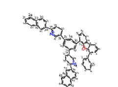 c1ccc(-c2cccc3c2oc2c(-c4cc(-c5ccc(-c6ccc7ccccc7c6)nc5)cc(-c5ccc(-c6ccc7ccccc7c6)nc5)c4)cccc23)cc1